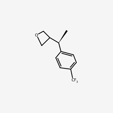 C[C@@H](c1ccc(C(F)(F)F)cc1)C1COC1